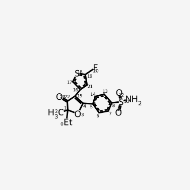 CCC1(C)OC(c2ccc(S(N)(=O)=O)cc2)=C(c2csc(F)c2)C1=O